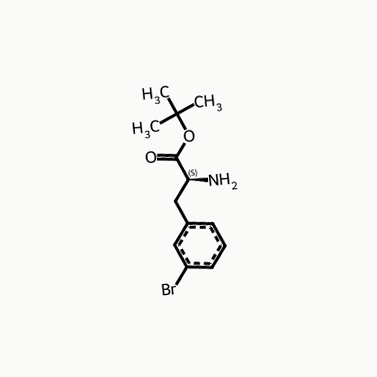 CC(C)(C)OC(=O)[C@@H](N)Cc1cccc(Br)c1